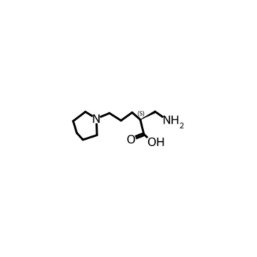 NC[C@H](CCCN1CCCCC1)C(=O)O